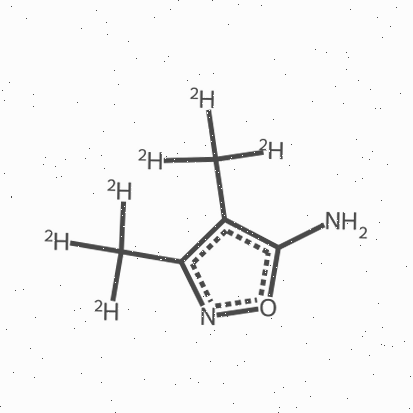 [2H]C([2H])([2H])c1noc(N)c1C([2H])([2H])[2H]